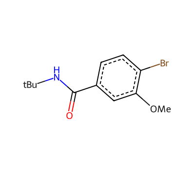 COc1cc(C(=O)NC(C)(C)C)ccc1Br